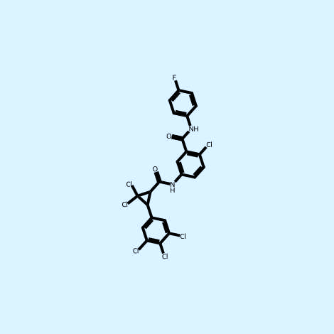 O=C(Nc1ccc(F)cc1)c1cc(NC(=O)C2C(c3cc(Cl)c(Cl)c(Cl)c3)C2(Cl)Cl)ccc1Cl